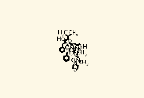 CCC(CC)C[C@H](O)[C@H](CC1CCCCC1)NC(=O)[C@H](Cc1c[nH]cn1)N(C)C(=O)[C@H](Cc1ccccc1)OC(=O)N(C)CCN(C)C(=O)N1CCOCC1